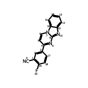 N#Cc1cc(-c2ccn3c(n2)nc2ccccc23)ccc1F